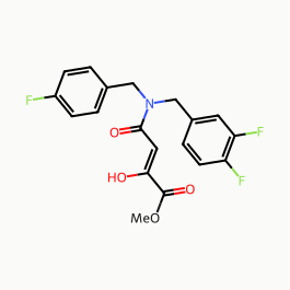 COC(=O)/C(O)=C/C(=O)N(Cc1ccc(F)cc1)Cc1ccc(F)c(F)c1